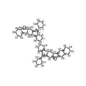 c1ccc(-n2c3ccc(-c4ccc5c(c4)c4cc6c(cc4n5-c4ccccc4)oc4cc5ccccc5cc46)cc3c3cc4c(cc32)oc2ccccc24)cc1